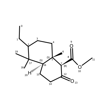 CCC1CC[C@]2(C)[C@@H](C(=O)OC)C(=O)CC[C@H]2C1(C)C